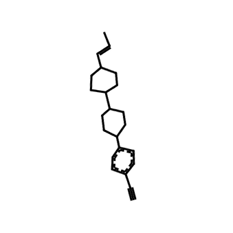 C#Cc1ccc(C2CCC(C3CCC(C=CC)CC3)CC2)cc1